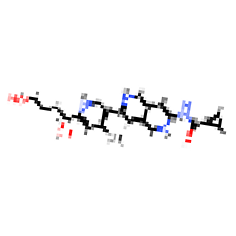 Cc1cc([C@H](O)CCCO)ncc1-c1cc2cnc(NC(=O)C3CC3)cc2cn1